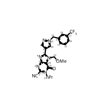 CCCn1c(C#N)nc2nc(-c3cnn(Cc4cccc(C(F)(F)F)c4)c3)n(COC)c2c1=O